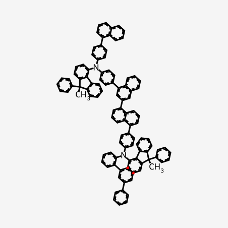 CC1(c2ccccc2)c2ccccc2-c2c(N(c3ccc(-c4cccc5ccccc45)cc3)c3ccc(-c4cc(-c5cccc6c(-c7ccc(N(c8ccccc8-c8cccc(-c9ccccc9)c8)c8cccc9c8-c8ccccc8C9(C)c8ccccc8)cc7)cccc56)cc5ccccc45)cc3)cccc21